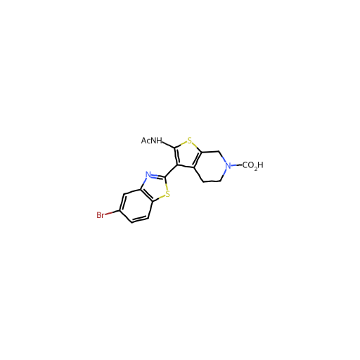 CC(=O)Nc1sc2c(c1-c1nc3cc(Br)ccc3s1)CCN(C(=O)O)C2